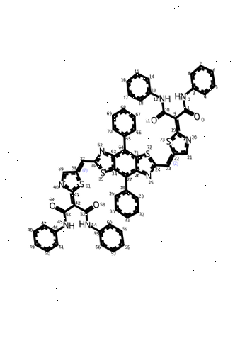 O=C(Nc1ccccc1)C(C(=O)Nc1ccccc1)=c1nc/c(=C/c2nc3c(-c4ccccc4)c4sc(/C=c5/cnc(=C(C(=O)Nc6ccccc6)C(=O)Nc6ccccc6)s5)nc4c(-c4ccccc4)c3s2)s1